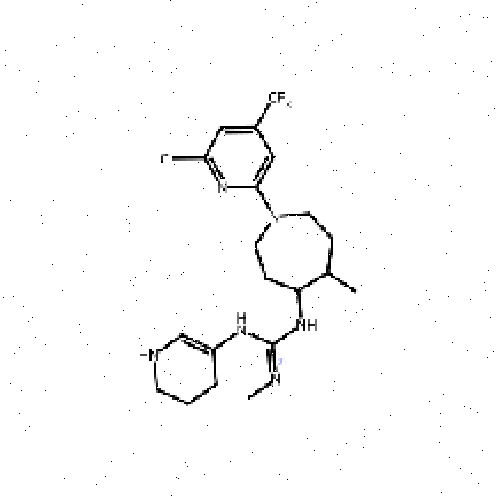 C/N=C(\NC1=CNCCC1)NC1CCN(c2cc(C(F)(F)F)cc(Cl)n2)CCC1C